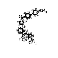 CCn1ncc(-c2nc3c(OC4CCN(C(=O)c5ccc(N6CCN(C)CC6)cc5)C4)ncnc3n2C)c1C